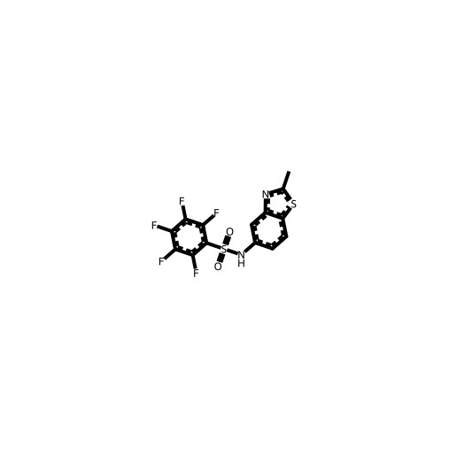 Cc1nc2cc(NS(=O)(=O)c3c(F)c(F)c(F)c(F)c3F)ccc2s1